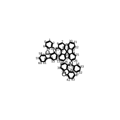 c1ccc(N(c2cccc3c2-c2ccccc2C32c3ccccc3-c3ccc(N(c4ccccc4)c4cccc5oc6ccccc6c45)cc32)c2cccc3c2oc2ccccc23)cc1